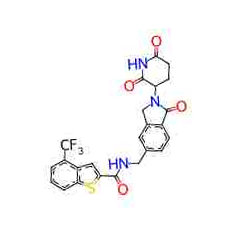 O=C1CCC(N2Cc3cc(CNC(=O)c4cc5c(C(F)(F)F)cccc5s4)ccc3C2=O)C(=O)N1